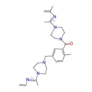 C=C/N=C(\C)N1CCN(Cc2ccc(C)c(C(=O)N3CCN(/C(C)=N/C(=C)C)CC3)c2)CC1